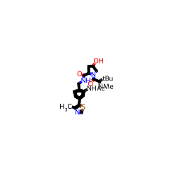 CNC(C(=O)N1CC(O)CC1C(=O)NCc1ccc(-c2scnc2C)cc1NC(C)=O)C(C)(C)C